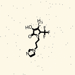 CC1=C(O)C(=O)N(CCCn2ccnc2)C1C(F)(F)F